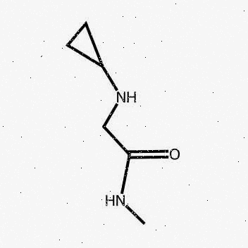 CNC(=O)CNC1CC1